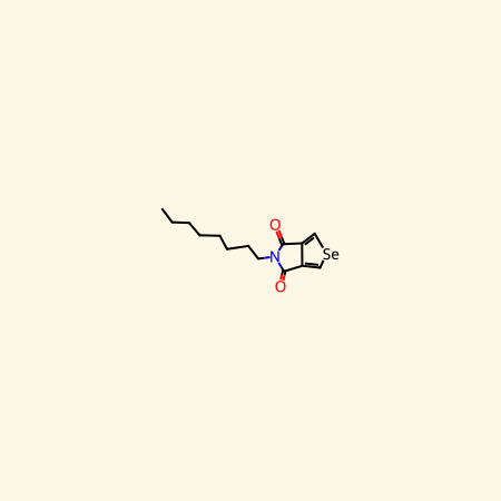 CCCCCCCCN1C(=O)c2c[se]cc2C1=O